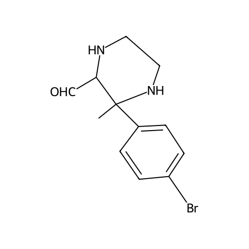 CC1(c2ccc(Br)cc2)NCCNC1C=O